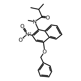 CC(C)C(=O)N(C)c1c([N+](=O)[O-])cc(OCc2ccccc2)c2ccccc12